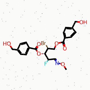 CON=C[C@@H](F)[C@H](OC(=O)c1ccc(CO)cc1)[C@@H](Br)COC(=O)c1ccc(CO)cc1